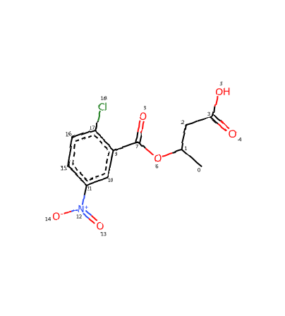 CC(CC(=O)O)OC(=O)c1cc([N+](=O)[O-])ccc1Cl